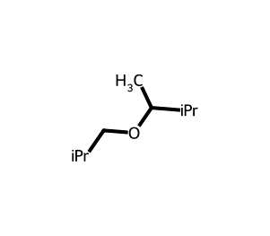 [CH2]C(C)COC(C)C(C)C